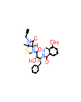 C#CCN1C(=O)[C@H]2N(C(=O)[C@@H](O)[C@H](Cc3ccccc3)NC(=O)c3cccc(O)c3C)CSC21C